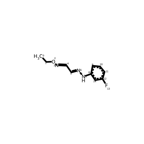 CCON=CC=NNc1cccc(F)c1